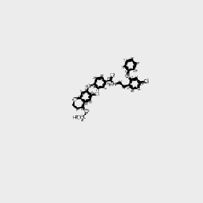 O=C(O)OC1CCOc2cc(Oc3ccc(C(=O)NCCc4ccc(Cl)cc4Oc4ccccc4)cc3)c(Cl)cc21